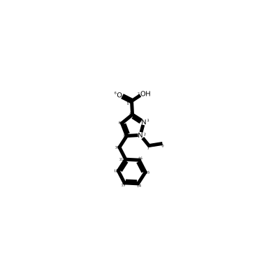 CCn1nc(C(=O)O)cc1Cc1ccccc1